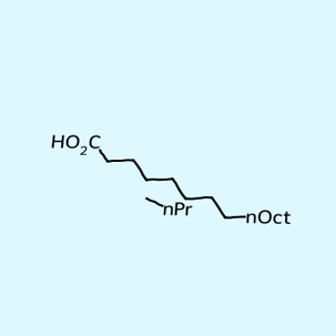 CCCC.CCCCCCCCCCCCCCCC(=O)O